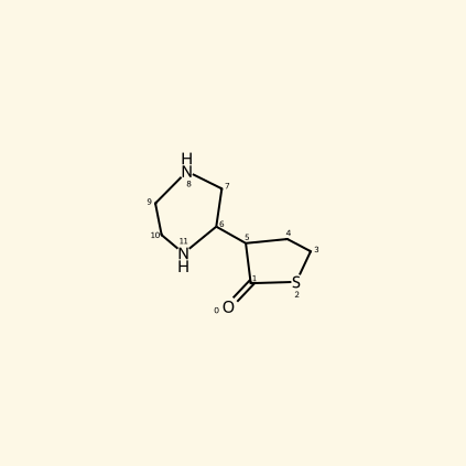 O=C1SCCC1C1CNCCN1